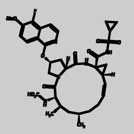 COc1ccc2c(O[C@@H]3C[C@H]4C(=O)N[C@]5(C(=O)NS(=O)(=O)C6CC6)C[C@H]5/C=C\CC[C@H](C)C[C@@H](C)[C@H](NC(=O)O)C(=O)N4C3)nccc2c1F